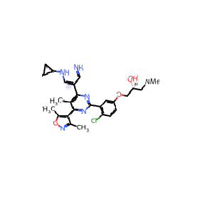 CNC[C@@H](O)COc1ccc(Cl)c(-c2nc(/C(C=N)=C/NC3CC3)c(C)c(-c3c(C)noc3C)n2)c1